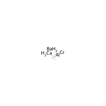 [Al].[B].[BaH2].[CaH2].[Cr]